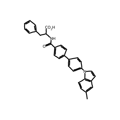 Cc1ccc2c(ccn2-c2ccc(-c3ccc(C(=O)NC(Cc4ccccc4)C(=O)O)cc3)cc2)c1